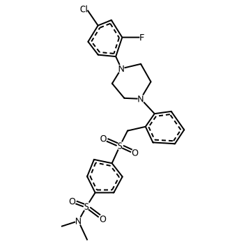 CN(C)S(=O)(=O)c1ccc(S(=O)(=O)Cc2ccccc2N2CCN(c3ccc(Cl)cc3F)CC2)cc1